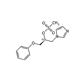 CS(=O)(=O)O[C@H](COc1ccccc1)Cn1ccnc1